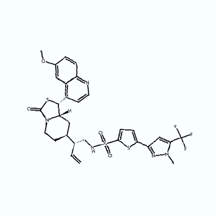 C=C[C@@H](CNS(=O)(=O)c1ccc(-c2cc(C(F)(F)F)n(C)n2)s1)[C@H]1CCN2C(=O)S[C@H](c3ccnc4ccc(OC)cc34)[C@@H]2C1